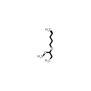 C=CCCCOC(CC)O[SiH3]